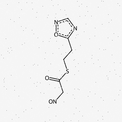 O=NCC(=O)SCCc1ncno1